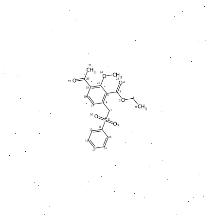 CCOC(=O)c1c(CS(=O)(=O)c2ccccc2)ccc(C(C)=O)c1OC